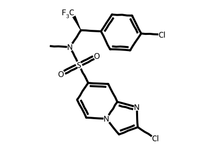 CN([C@H](c1ccc(Cl)cc1)C(F)(F)F)S(=O)(=O)c1ccn2cc(Cl)nc2c1